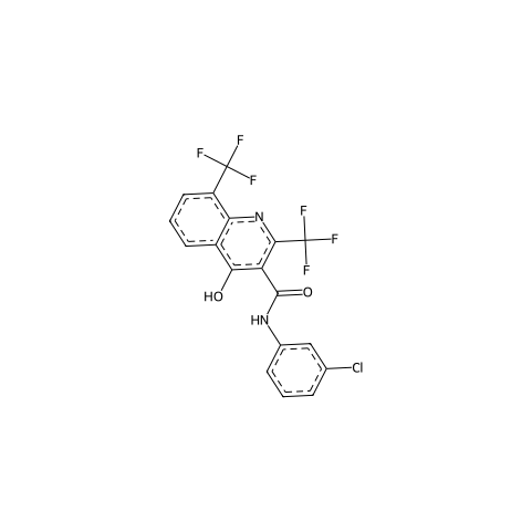 O=C(Nc1cccc(Cl)c1)c1c(C(F)(F)F)nc2c(C(F)(F)F)cccc2c1O